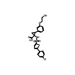 O=C(O)C1(NS(=O)(=O)c2ccc(-c3ccc(Cl)cc3)s2)CC1c1cccc(OCCO)c1